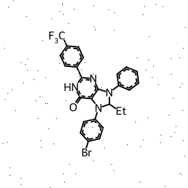 CCC1N(c2ccccc2)c2nc(-c3ccc(C(F)(F)F)cc3)[nH]c(=O)c2N1c1ccc(Br)cc1